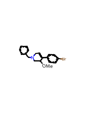 COC1CN(Cc2ccccc2)CC=C1c1ccc(Br)cc1